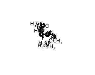 COc1ncc(Cl)cc1S(=O)(=O)Nc1ccc(F)c(-c2ccc3c(-c4nnc(C)n4COCC[Si](C)(C)C)ncn3c2)c1F